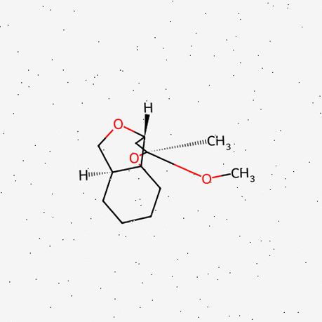 CO[C@]1(C)C[C@@H]2OC[C@@H]3CCCCC32O1